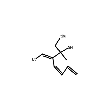 C=C/C=C\C(=C/CC)C(C)(S)CC(C)(C)C